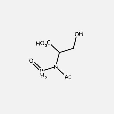 CC(=O)N([PH2]=O)C(CO)C(=O)O